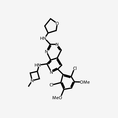 COc1cc(OC)c(Cl)c(-c2cc3cnc(NC4CCOC4)nc3c(NC3CN(C)C3)n2)c1Cl